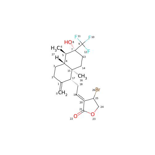 C=C1CC[C@@H]2[C@@H](C)[C@@](O)(C(F)(F)F)CC[C@@]2(C)[C@@H]1C/C=C1/C(=O)OCC1Br